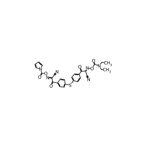 CCN(CC)C(=O)O/N=C(\C#N)C(=O)c1ccc(Sc2ccc(C(=O)/C(C#N)=N/OC(=O)n3cccc3)cc2)cc1